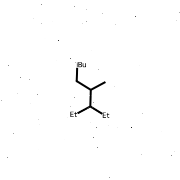 [CH2]CC(CC)C(C)CC(C)CC